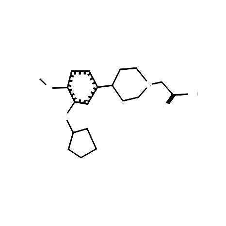 COc1ccc(C2CCN(CC(=O)O)CC2)cc1OC1CCCC1